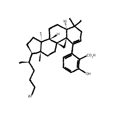 CC(C)CCC[C@@H](C)[C@H]1CC[C@@]2(C)[C@@H]3CC[C@H]4C(C)(C)CC=C(c5cccc(O)c5C(=O)O)[C@@]45C[C@@]35CC[C@]12C